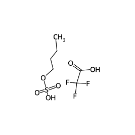 CCCCOS(=O)(=O)O.O=C(O)C(F)(F)F